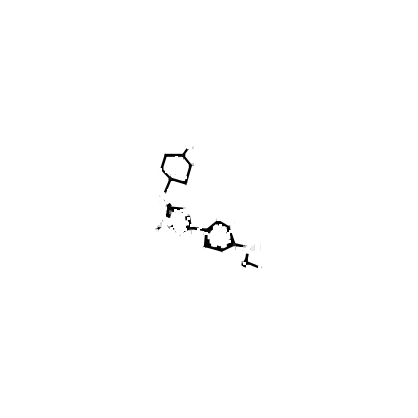 CC(=O)Nc1ccc(-c2nn(C)c(=NC3CCC(O)CC3)s2)cc1